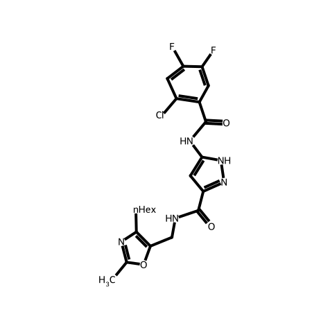 CCCCCCc1nc(C)oc1CNC(=O)c1cc(NC(=O)c2cc(F)c(F)cc2Cl)[nH]n1